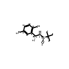 C[C@@H](N[S@+]([O-])C(C)(C)C)c1cc(F)ccc1I